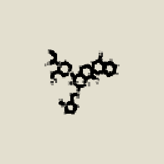 C=CC(=O)N1CCN(C2NC(OCC3CCCN3C)NC3C(=O)C4(CCC32)Cc2ccccc2C(Cl)C4)CC1CC#N